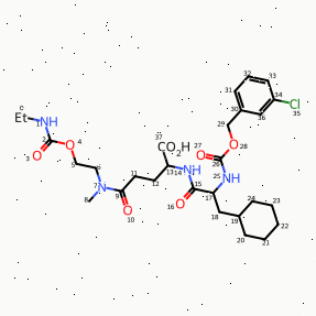 CCNC(=O)OCCN(C)C(=O)CCC(NC(=O)C(CC1CCCCC1)NC(=O)OCc1cccc(Cl)c1)C(=O)O